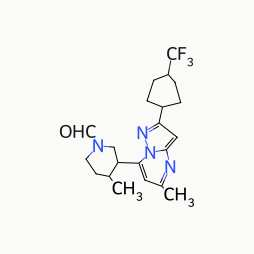 Cc1cc(C2CN(C=O)CCC2C)n2nc(C3CCC(C(F)(F)F)CC3)cc2n1